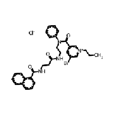 CCC[n+]1cc(Br)cc(C(=O)N(CCNC(=O)CCNC(=O)c2cccc3ccccc23)c2ccccc2)c1.[Cl-]